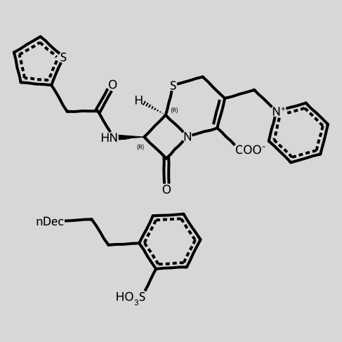 CCCCCCCCCCCCc1ccccc1S(=O)(=O)O.O=C(Cc1cccs1)N[C@@H]1C(=O)N2C(C(=O)[O-])=C(C[n+]3ccccc3)CS[C@H]12